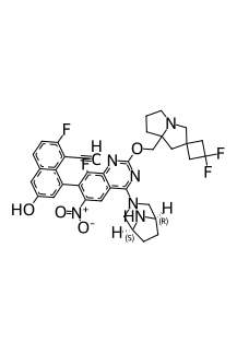 C#Cc1c(F)ccc2cc(O)cc(-c3c([N+](=O)[O-])cc4c(N5C[C@H]6CC[C@@H](C5)N6)nc(OCC56CCCN5CC5(CC(F)(F)C5)C6)nc4c3F)c12